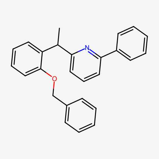 CC(c1cccc(-c2ccccc2)n1)c1ccccc1OCc1ccccc1